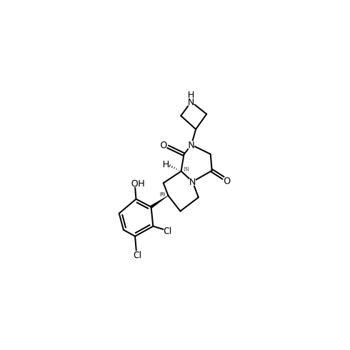 O=C1[C@@H]2C[C@H](c3c(O)ccc(Cl)c3Cl)CCN2C(=O)CN1C1CNC1